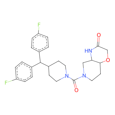 O=C1COC2CCN(C(=O)N3CCC(C(c4ccc(F)cc4)c4ccc(F)cc4)CC3)CC2N1